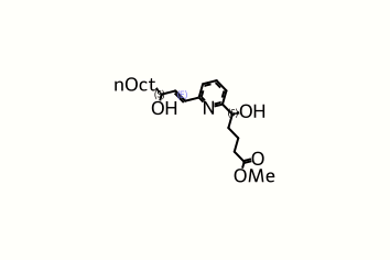 CCCCCCCC[C@H](O)/C=C/c1cccc([C@@H](O)CCCC(=O)OC)n1